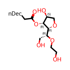 CCCCCCCCCCCC(=O)O[C@H]1[C@@H]([C@@H](CO)OCCO)OC[C@@H]1O